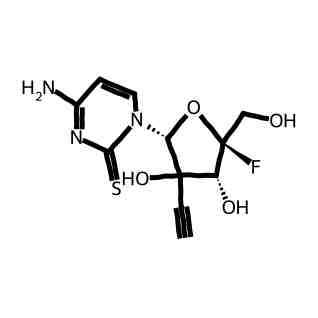 C#CC1(O)[C@@H](O)[C@@](F)(CO)O[C@H]1n1ccc(N)nc1=S